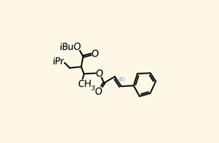 CC(C)COC(=O)C(CC(C)C)C(C)OC(=O)/C=C/c1ccccc1